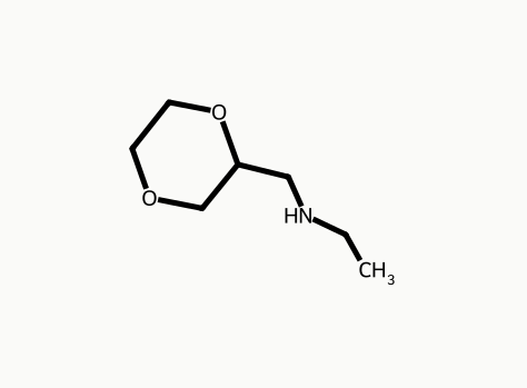 CCNCC1COCCO1